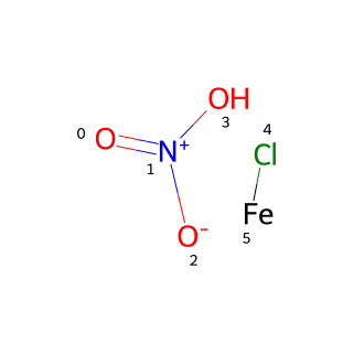 O=[N+]([O-])O.[Cl][Fe]